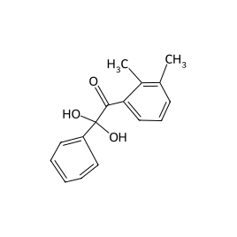 Cc1cccc(C(=O)C(O)(O)c2ccccc2)c1C